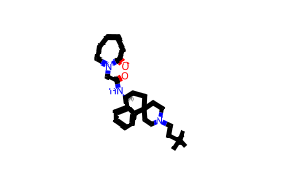 CC(C)(C)CCN1CCC2(CC[C@@H](NC(=O)CN3CCCCCC3=O)c3ccccc32)CC1